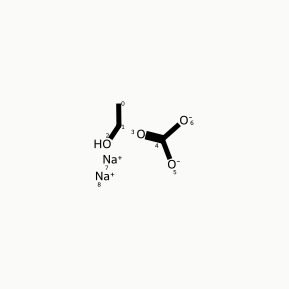 CCO.O=C([O-])[O-].[Na+].[Na+]